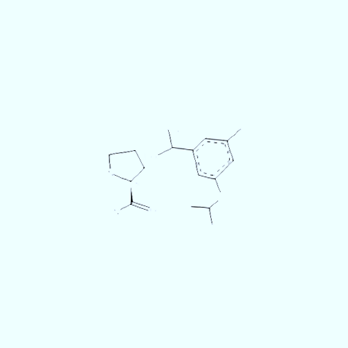 NC(=O)[C@@H]1CCCN1.O=C(O)C(O)c1cc(Cl)cc(OC(F)F)c1